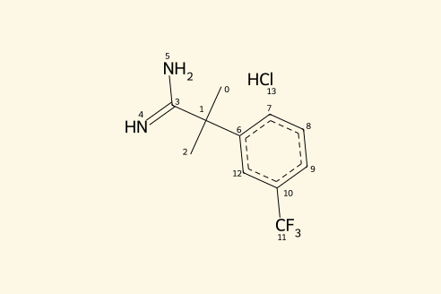 CC(C)(C(=N)N)c1cccc(C(F)(F)F)c1.Cl